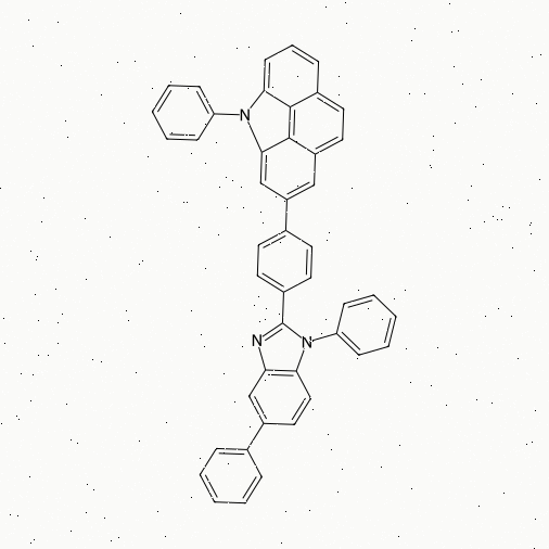 c1ccc(-c2ccc3c(c2)nc(-c2ccc(-c4cc5ccc6cccc7c6c5c(c4)n7-c4ccccc4)cc2)n3-c2ccccc2)cc1